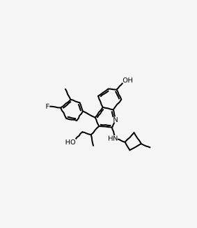 Cc1cc(-c2c(C(C)CO)c(NC3CC(C)C3)nc3cc(O)ccc23)ccc1F